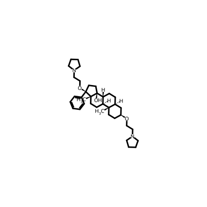 C[C@]12CC[C@H](OCCN3CCCC3)C[C@@H]1CC[C@@H]1[C@@H]2CC[C@]2(C)[C@](OCCN3CCCC3)(c3ccccc3)CC[C@]12O